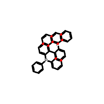 c1ccc(-c2cccc(P(c3ccccc3)c3ccccc3)c2-c2ccccc2P(c2ccccc2)c2ccccc2)cc1